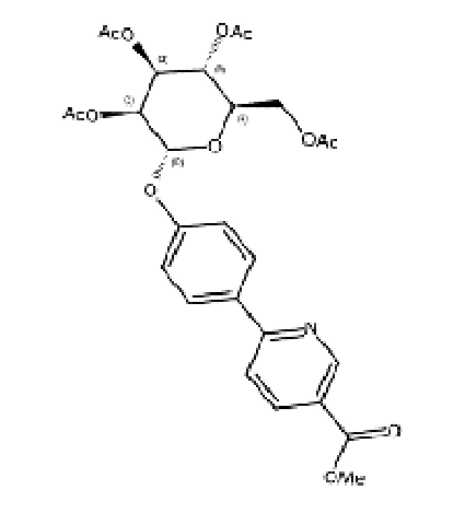 COC(=O)c1ccc(-c2ccc(O[C@H]3O[C@H](COC(C)=O)[C@@H](OC(C)=O)[C@H](OC(C)=O)[C@@H]3OC(C)=O)cc2)nc1